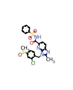 Cc1nc2ccc(C(=O)NS(=O)(=O)c3ccccc3)nc2n1Cc1ccc([S+](C)[O-])cc1Cl